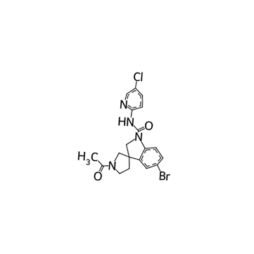 CC(=O)N1CCC2(C1)CN(C(=O)Nc1ccc(Cl)cn1)c1ccc(Br)cc12